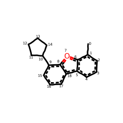 Cc1cccc2c1oc1c(C3CCCC3)cccc12